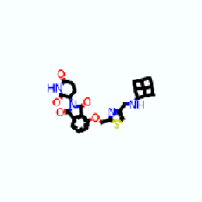 O=C1CCC(N2C(=O)c3cccc(OCc4nc(CNC5C6CC7CC8CC5C786)cs4)c3C2=O)C(=O)N1